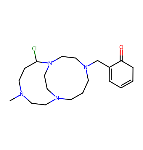 CN1CCC(Cl)N2CCN(CCCN(CC3=CC=CCC3=O)CC2)CC1